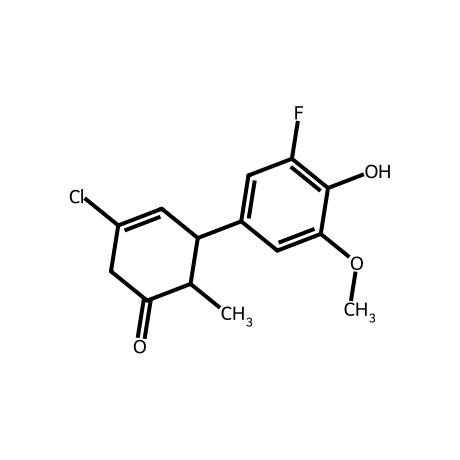 COc1cc(C2C=C(Cl)CC(=O)C2C)cc(F)c1O